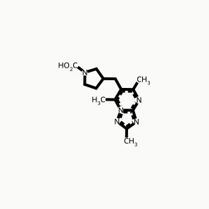 Cc1nc2nc(C)c(CC3CCN(C(=O)O)C3)c(C)n2n1